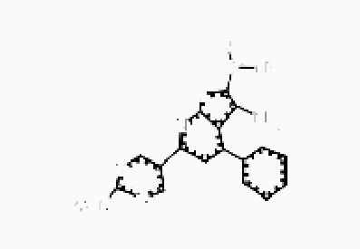 CCCC[S+]([O-])c1sc2nc(-c3cnc(NC)nc3)cc(-c3ccccc3)c2c1N